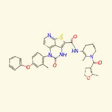 CC1=C(C(=O)N2CCCC(NC(=O)c3sc4nccc5c4c3NC(=O)N5c3ccc(Oc4ccccc4)cc3C)=C2C)CCO1